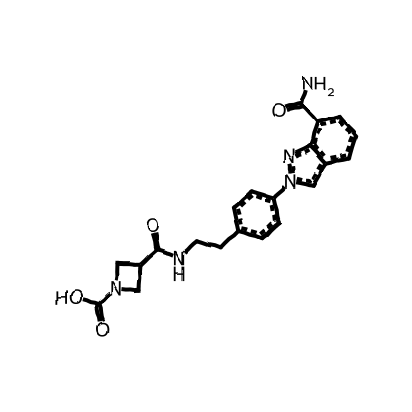 NC(=O)c1cccc2cn(-c3ccc(CCNC(=O)C4CN(C(=O)O)C4)cc3)nc12